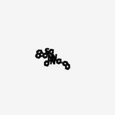 c1ccc(-c2nc(-c3ccc(-c4ccc5ccccc5c4)cc3)nc(-c3cccc4sc5c6c(ccc5c34)-c3cccc4cccc-6c34)n2)cc1